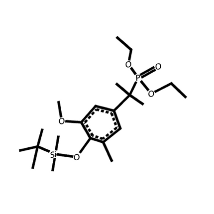 CCOP(=O)(OCC)C(C)(C)c1cc(C)c(O[Si](C)(C)C(C)(C)C)c(OC)c1